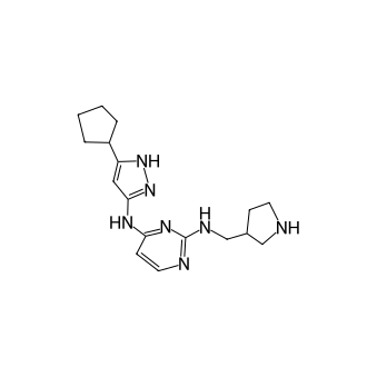 c1cc(Nc2cc(C3CCCC3)[nH]n2)nc(NCC2CCNC2)n1